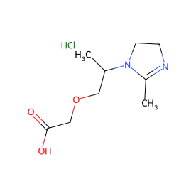 CC1=NCCN1C(C)COCC(=O)O.Cl